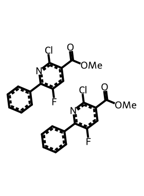 COC(=O)c1cc(F)c(-c2ccccc2)nc1Cl.COC(=O)c1cc(F)c(-c2ccccc2)nc1Cl